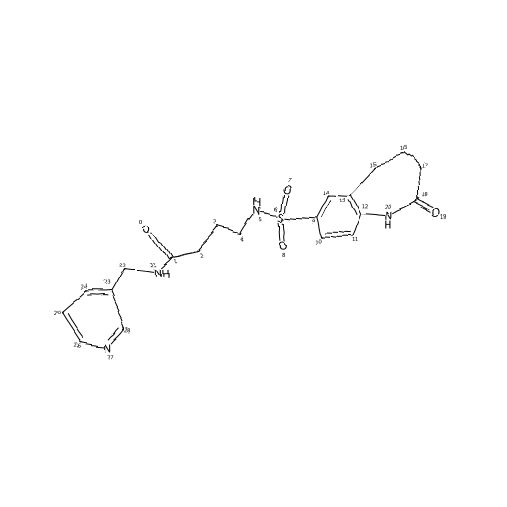 O=C(CCCNS(=O)(=O)c1ccc2c(c1)CCCC(=O)N2)NCc1cccnc1